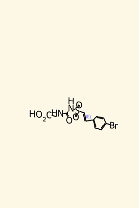 O=C(O)CNC(=O)NS(=O)(=O)/C=C/c1ccc(Br)cc1